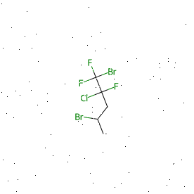 [CH2]C(Br)CC(F)(Cl)C(F)(F)Br